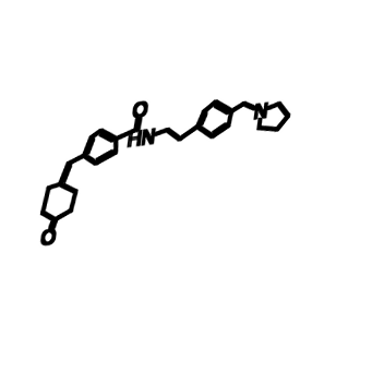 O=C1CCC(=Cc2ccc(C(=O)NCCc3ccc(CN4CCCC4)cc3)cc2)CC1